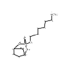 CCCCCCCCCCCCCCCCOP1(=O)OC2CCN(CC2)O1